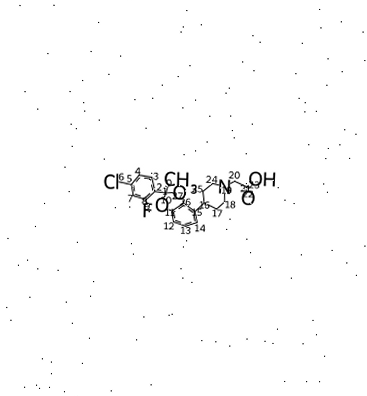 CC1(c2ccc(Cl)cc2F)Oc2cccc(C3CCN(CC(=O)O)CC3)c2O1